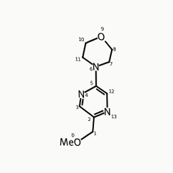 COCc1cnc(N2CCOCC2)cn1